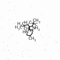 CC1CNc2c(CC(C)(C)C)c(C(C)(C)C)nn2C1